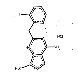 Cl.Cn1ccc2c(N)nc(Cc3ccccc3F)nc21